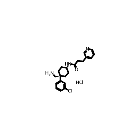 Cl.NC[C@]1(c2cccc(Cl)c2)CC[C@H](NC(=O)CCc2cccnc2)CC1